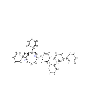 C1=CCCC(C2=NC(C3=CC=CCC3)CC=C2C2C=CC(/C3=N/C(c4ccccc4)N/C(C4=CC=CCC4)=C\CC3)CC2)=C1